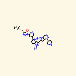 CCCCC(=O)Nc1cncc(-c2ccc3[nH]nc(-c4cc5c(-c6ccncc6)nccc5[nH]4)c3n2)c1